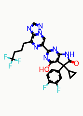 O=C1Nc2nc(-c3cn4ncnc4c(CCCC(F)(F)F)n3)nc(O)c2C1(c1ccc(F)c(F)c1)C1CC1